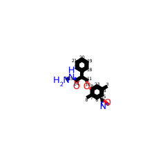 C1=NO1.Cc1ccc(C)c(OCC(C(=O)NN)c2ccccc2)c1